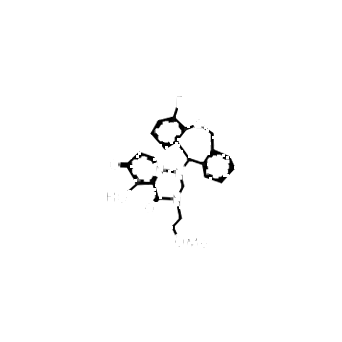 COCCN1CN(C2c3ccccc3CSc3c(F)cccc32)n2ccc(=O)c(O)c2C1=O